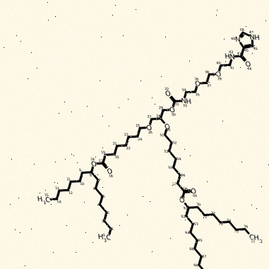 CCCCCCCCC(CCCCCCC)OC(=O)CCCCCCCOCC(COC(=O)NCCOCCOCCNC(=O)c1c[nH]cn1)OCCCCCCCC(=O)OC(CCCCCCCC)CCCCCCCC